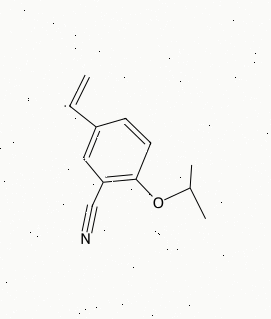 C=[C]c1ccc(OC(C)C)c(C#N)c1